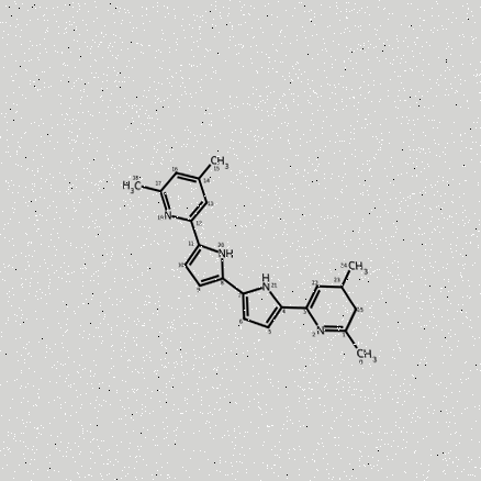 CC1=NC(c2ccc(-c3ccc(-c4cc(C)cc(C)n4)[nH]3)[nH]2)=CC(C)C1